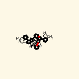 Cc1cccc(-c2cccc3c2C=C(c2ccccc2)[CH]3[Zr]([Cl])([Cl])([B](NC=O)NC=O)[CH]2C(c3ccccc3)=Cc3c(-c4cccc(C)c4C)cccc32)c1C